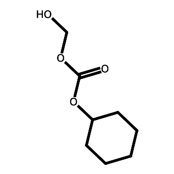 O=C(OCO)OC1CCCCC1